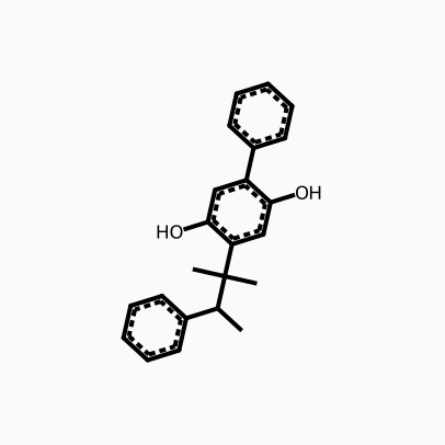 CC(c1ccccc1)C(C)(C)c1cc(O)c(-c2ccccc2)cc1O